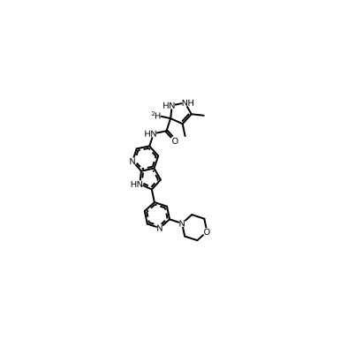 [2H]C1(C(=O)Nc2cnc3[nH]c(-c4ccnc(N5CCOCC5)c4)cc3c2)NNC(C)=C1C